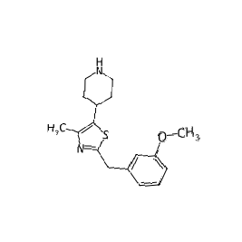 COc1cccc(Cc2nc(C)c(C3CCNCC3)s2)c1